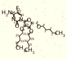 CCCCCOC[C@H]1O[C@@H](n2cc(F)c(N)nc2=O)[C@H](OCCCCC)[C@@H]1OCCCCC